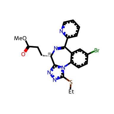 CCSc1nnc2n1-c1ccc(Br)cc1C(c1ccccn1)=N[C@H]2CCC(=O)OC